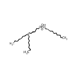 CCCCCCCCCCOP(=O)(O)OCCCCCCN(CCCCCCCC)CCCCCCCC